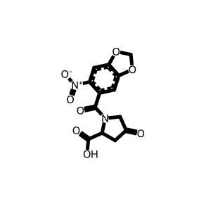 O=C1CC(C(=O)O)N(C(=O)c2cc3c(cc2[N+](=O)[O-])OCO3)C1